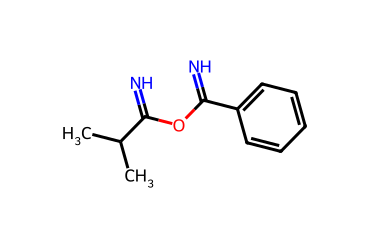 CC(C)C(=N)OC(=N)c1ccccc1